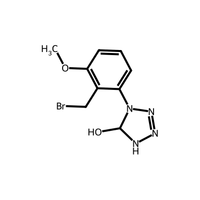 COc1cccc(N2N=NNC2O)c1CBr